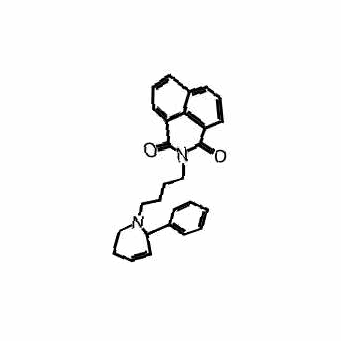 O=C1c2cccc3cccc(c23)C(=O)N1CCCCN1CCC=CC1c1ccccc1